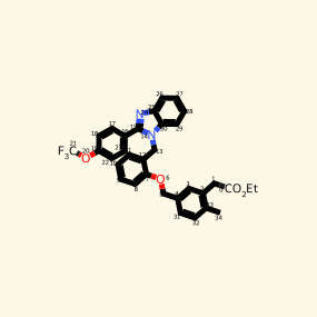 CCOC(=O)Cc1cc(COc2ccccc2Cn2c(-c3ccc(OC(F)(F)F)cc3)nc3ccccc32)ccc1C